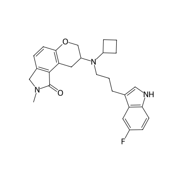 CN1Cc2ccc3c(c2C1=O)CC(N(CCCc1c[nH]c2ccc(F)cc12)C1CCC1)CO3